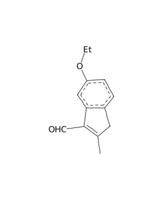 CCOc1ccc2c(c1)C(C=O)=C(C)C2